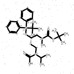 CC(C)N(CC[C@@H](CN(C)C(=O)OC(C)(C)C)O[Si](c1ccccc1)(c1ccccc1)C(C)(C)C)C(=O)O